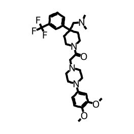 COc1ccc(N2CCN(CC(=O)N3CCC(CN(C)C)(c4cccc(C(F)(F)F)c4)CC3)CC2)cc1OC